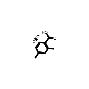 Cc1ccc(C(=O)O)c(C)c1.[C-]#[O+]